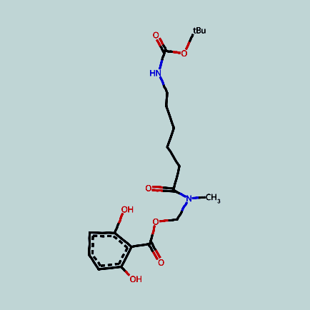 CN(COC(=O)c1c(O)cccc1O)C(=O)CCCCCNC(=O)OC(C)(C)C